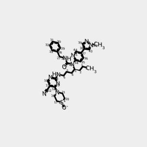 CCC[C@@H](CCCNc1ncc(C#N)c(N2CC[S+]([O-])CC2)n1)N(C(=O)NCc1ccccc1)c1ccc(-c2cnn(C)c2)cn1